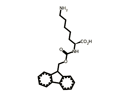 NCCCCC[C@H](NC(=O)OCC1c2ccccc2-c2ccccc21)C(=O)O